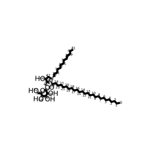 CCCCCCCCCCCCCCCCCCCCCCCCCC(=O)N1[C@@H](CCCCCCCCCCCCC)C[C@@H](O)[C@@H]1COC1OC(CO)C(O)C(O)C1O